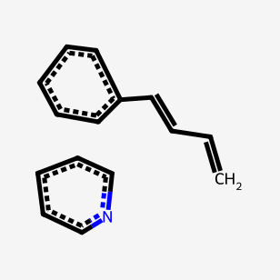 C=CC=Cc1ccccc1.c1ccncc1